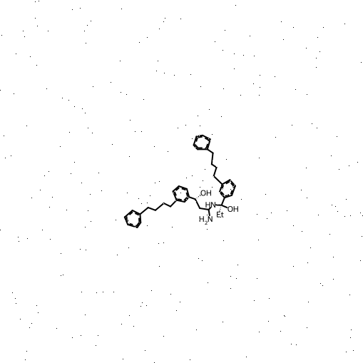 CC[C@](O)(NC(N)C[C@@H](O)c1cccc(CCCCc2ccccc2)c1)c1cccc(CCCCc2ccccc2)c1